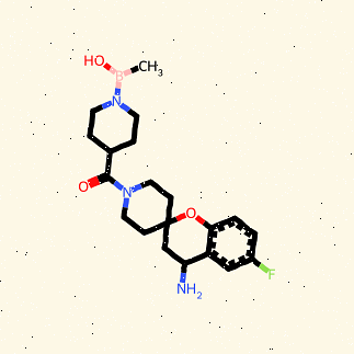 CB(O)N1CCC(C(=O)N2CCC3(CC2)CC(N)c2cc(F)ccc2O3)CC1